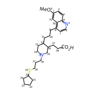 COc1ccc2nccc(CCCC3CCN(CCCSC4CCCC4)CC3CCC(=O)O)c2c1